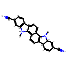 CN1c2c(ccc3c2ccc2c4ccc(C#N)cc4n(C)c32)C2C=CC(C#N)=CC21